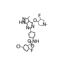 Cc1n[nH]c2nc(-c3ccc(NS(=O)(=O)c4cc(Cl)ccc4F)cc3)nc(O[C@@H]3CCN(C)C[C@@H]3F)c12